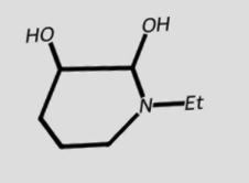 CCN1CCCC(O)C1O